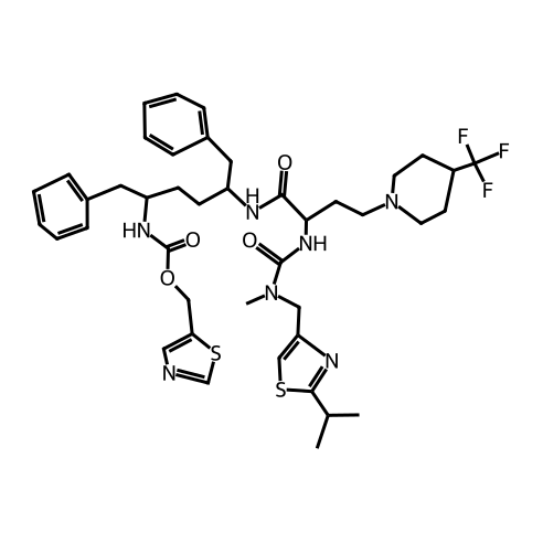 CC(C)c1nc(CN(C)C(=O)NC(CCN2CCC(C(F)(F)F)CC2)C(=O)NC(CCC(Cc2ccccc2)NC(=O)OCc2cncs2)Cc2ccccc2)cs1